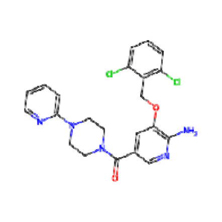 Nc1ncc(C(=O)N2CCN(c3ccccn3)CC2)cc1OCc1c(Cl)cccc1Cl